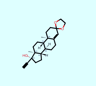 C#C[C@]1(O)CC[C@H]2[C@@H]3CCC4=CC5(CC[C@]4(C)[C@H]3CC[C@@]21C)OCCO5